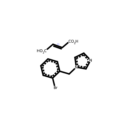 Brc1ccccc1Cn1ccnc1.O=C(O)/C=C/C(=O)O